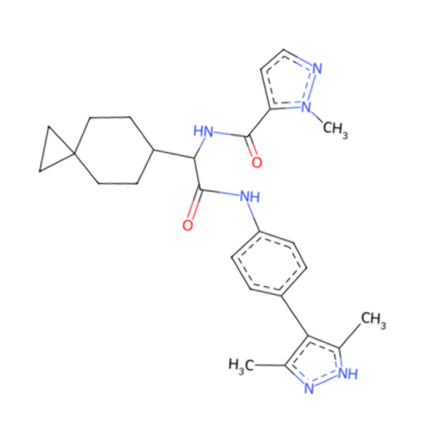 Cc1n[nH]c(C)c1-c1ccc(NC(=O)C(NC(=O)c2ccnn2C)C2CCC3(CC2)CC3)cc1